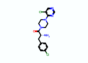 N[C@H](Cc1ccc(Cl)cc1)C(=O)N1CCN(c2ncncc2Cl)CC1